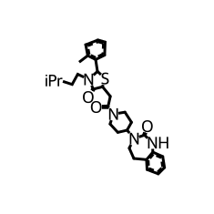 Cc1ccccc1C1SC(CC(=O)N2CCC(N3CCc4ccccc4NC3=O)CC2)C(=O)N1CCC(C)C